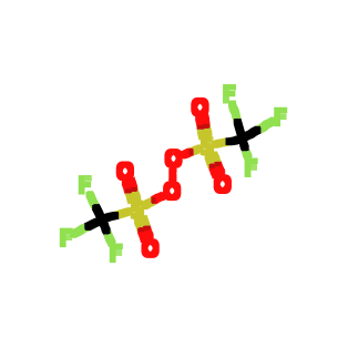 O=S(=O)(OOS(=O)(=O)C(F)(F)F)C(F)(F)F